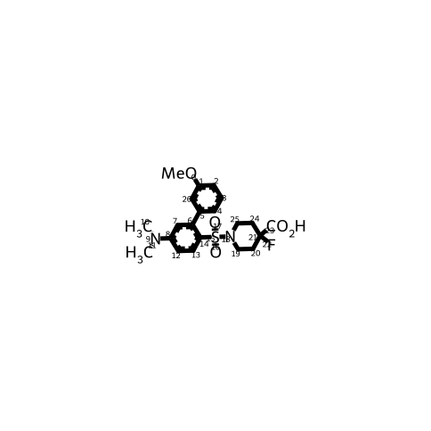 COc1cccc(-c2cc(N(C)C)ccc2S(=O)(=O)N2CCC(F)(C(=O)O)CC2)c1